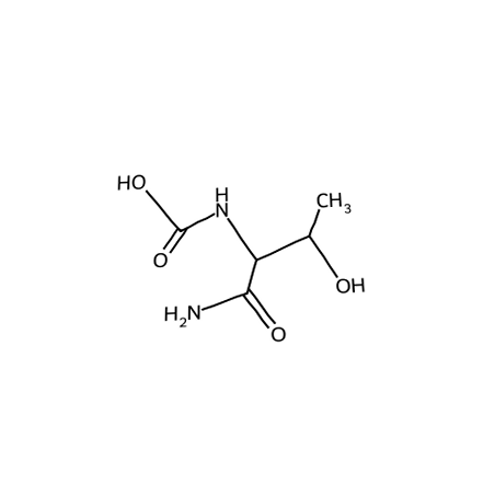 CC(O)C(NC(=O)O)C(N)=O